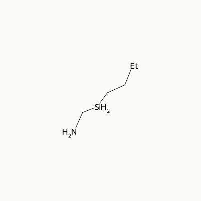 CCCC[SiH2]CN